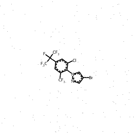 FC(F)(F)c1cc(C(F)(C(F)(F)F)C(F)(F)F)cc(Cl)c1-n1cc(Br)cn1